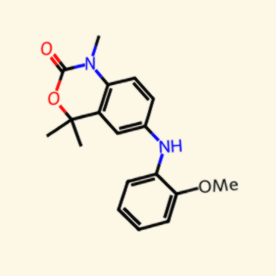 COc1ccccc1Nc1ccc2c(c1)C(C)(C)OC(=O)N2C